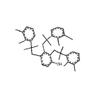 Cc1cccc(C(C)(C)Cc2ccc(O)c(CC(C)(C)c3cccc(C)c3C)c2CC(C)(C)c2cccc(C)c2C)c1C